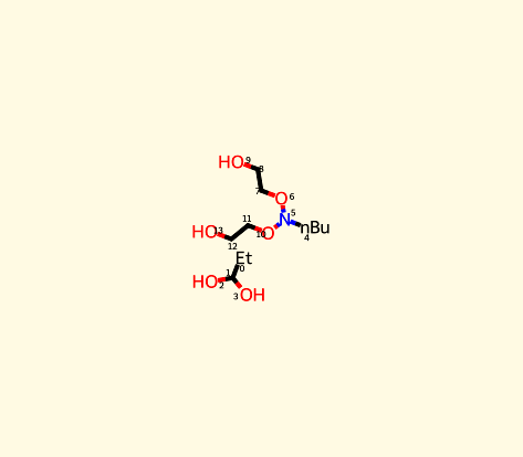 CCC(O)O.CCCCN(OCCO)OCCO